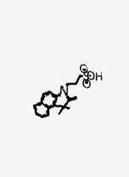 C=C1N(CCCS(=O)(=O)O)c2ccc3ccccc3c2C1(C)C